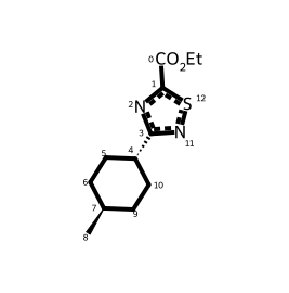 CCOC(=O)c1nc([C@H]2CC[C@H](C)CC2)ns1